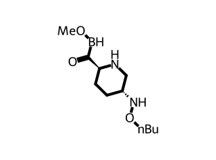 CCCCON[C@@H]1CC[C@@H](C(=O)BOC)NC1